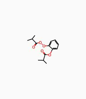 CC(C)C(=O)OOc1ccccc1OC(=O)C(C)C